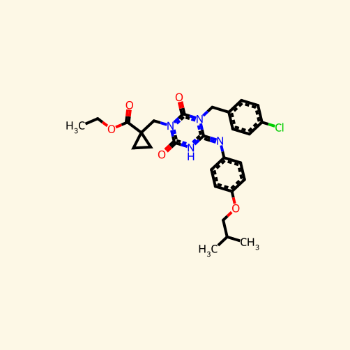 CCOC(=O)C1(Cn2c(=O)[nH]/c(=N\c3ccc(OCC(C)C)cc3)n(Cc3ccc(Cl)cc3)c2=O)CC1